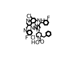 N#Cc1cnc2c(Cl)cc(NC(c3cccc(F)c3)c3cn(C4CCN(C(=O)O)C(Cc5ccccc5)C4)nn3)cc2c1Nc1ccc(F)c(Cl)c1